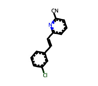 N#Cc1cccc(/C=C/c2cccc(Cl)c2)n1